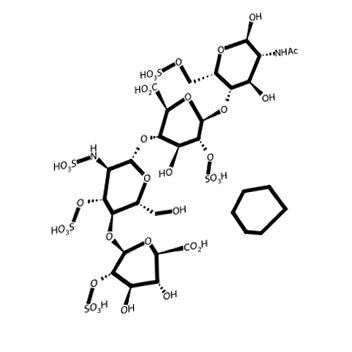 C1CCCCC1.CC(=O)N[C@@H]1[C@@H](O)[C@H](O[C@@H]2O[C@H](C(=O)O)[C@@H](O[C@@H]3O[C@H](CO)[C@@H](O[C@H]4O[C@@H](C(=O)O)[C@H](O)[C@@H](O)[C@@H]4OS(=O)(=O)O)[C@H](OS(=O)(=O)O)[C@H]3NS(=O)(=O)O)[C@H](O)[C@H]2OS(=O)(=O)O)[C@H](COS(=O)(=O)O)O[C@H]1O